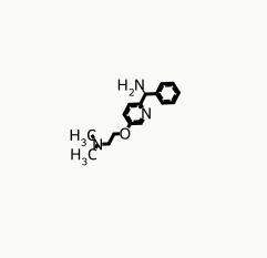 CN(C)CCOc1ccc([C@H](N)c2ccccc2)nc1